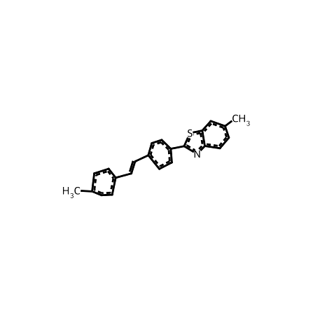 Cc1ccc(/C=C/c2ccc(-c3nc4ccc(C)cc4s3)cc2)cc1